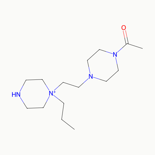 CCC[N+]1(CCN2CCN(C(C)=O)CC2)CCNCC1